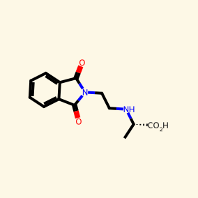 C[C@H](NCCN1C(=O)c2ccccc2C1=O)C(=O)O